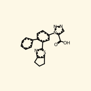 O=C(O)c1cnnn1-c1ccc(-c2ccccc2)c(-c2nc3c(s2)CCC3)c1